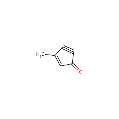 CC1=CC(=O)C#C1